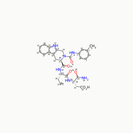 Cc1cccc(NC(=O)N2Cc3[nH]c4ccccc4c3C[C@@H]2C(=O)N[C@@H](CC(C)C)C(=O)N[C@@H](CC(=O)O)C(N)=O)c1